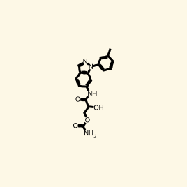 Cc1cccc(-n2ncc3ccc(NC(=O)C(O)COC(N)=O)cc32)c1